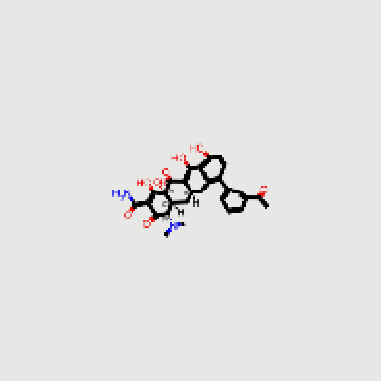 CC(=O)c1cccc(-c2ccc(O)c3c2C[C@H]2C[C@H]4[C@H](N(C)C)C(=O)C(C(N)=O)=C(O)[C@@]4(O)C(=O)C2=C3O)c1